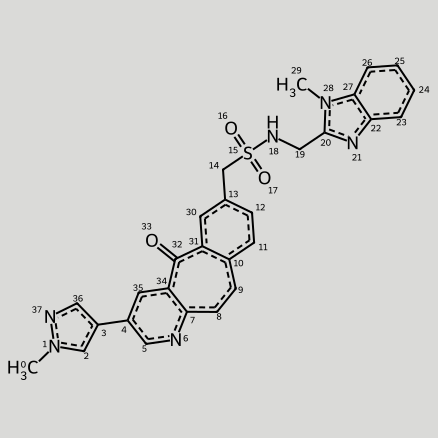 Cn1cc(-c2cnc3ccc4ccc(CS(=O)(=O)NCc5nc6ccccc6n5C)cc4c(=O)c3c2)cn1